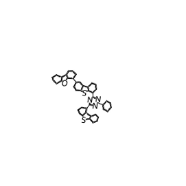 c1ccc(-c2nc(-c3cccc4c3sc3ccc(-c5cccc6c5oc5ccccc56)cc34)nc(-c3cccc4sc5ccccc5c34)n2)cc1